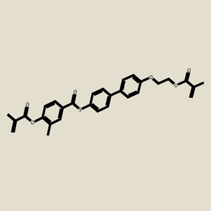 C=C(C)C(=O)OCCOc1ccc(-c2ccc(SC(=O)c3ccc(OC(=O)C(=C)C)c(C)c3)cc2)cc1